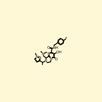 CC(c1ccn(C)n1)N1CCn2c(nc(C(=O)NCc3ccc(F)cc3)c(O)c2=O)C1CN(C)C